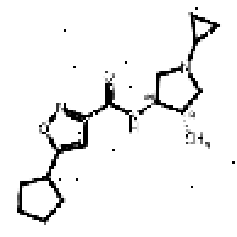 C[C@H]1CN(C2CC2)C[C@@H]1NC(=O)c1cc(C2CCCC2)on1